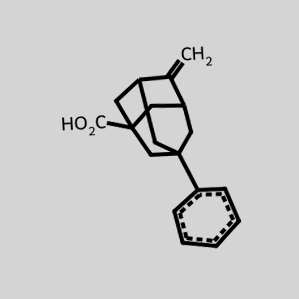 C=C1C2CC3(C(=O)O)CC1CC(c1ccccc1)(C2)C3